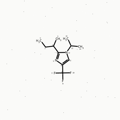 CCC(C)c1nc(C(F)(F)F)cn1C(C)C